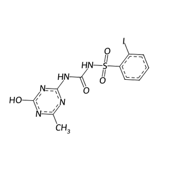 Cc1nc(O)nc(NC(=O)NS(=O)(=O)c2ccccc2I)n1